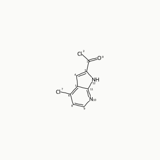 O=C(Cl)c1cc2c(Cl)ccnc2[nH]1